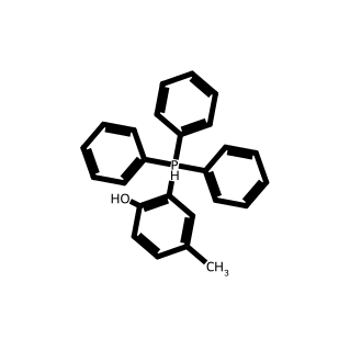 Cc1ccc(O)c([PH](c2ccccc2)(c2ccccc2)c2ccccc2)c1